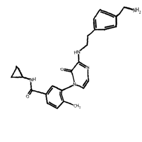 Cc1ccc(C(=O)NC2CC2)cc1-n1ccnc(NCCc2ccc(CN)cc2)c1=O